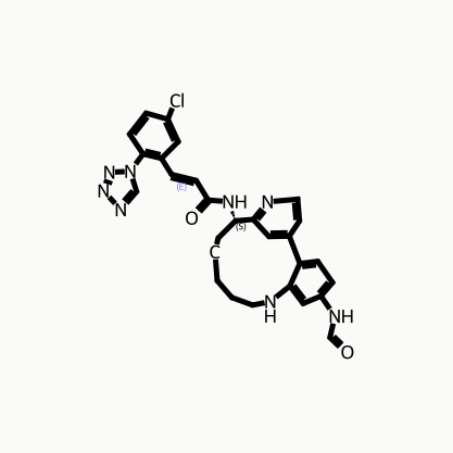 O=CNc1ccc2c(c1)NCCCCC[C@H](NC(=O)/C=C/c1cc(Cl)ccc1-n1cnnn1)c1cc-2ccn1